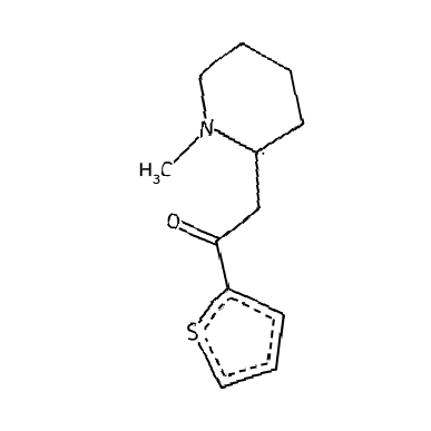 CN1CCCC[C]1CC(=O)c1cccs1